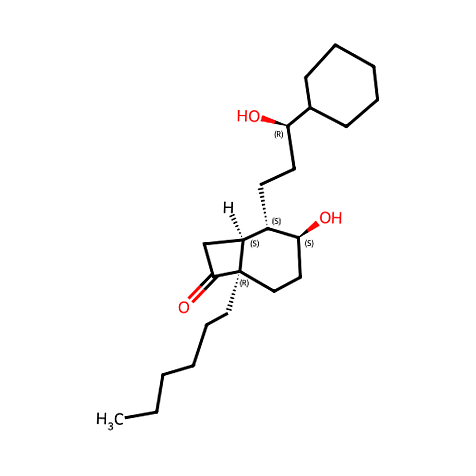 CCCCCC[C@@]12CC[C@H](O)[C@@H](CC[C@@H](O)C3CCCCC3)[C@@H]1CC2=O